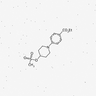 CCOC(=O)c1ccc(N2CCC(OS(C)(=O)=O)CC2)cc1